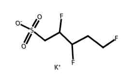 O=S(=O)([O-])CC(F)C(F)CCF.[K+]